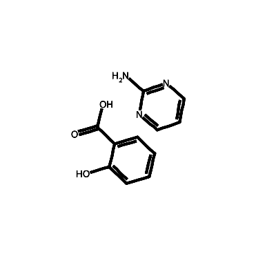 Nc1ncccn1.O=C(O)c1ccccc1O